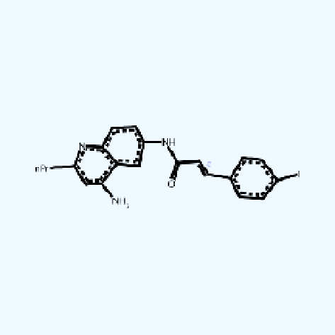 CCCc1cc(N)c2cc(NC(=O)/C=C/c3ccc(I)cc3)ccc2n1